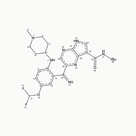 CN1CCC(Nc2ccc(OC(F)F)cc2C(=N)c2cnc3[nH]cc(C(=O)NC(C)(C)C)c3n2)CC1